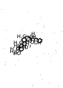 CC1(C)[C@@H](O)CC[C@]2(C)[C@H]3C(=O)C=C4[C@@H]5C[C@@](C)(C(=O)NC(Cc6ccccc6)C(=O)O)CC[C@]5(C)CC[C@@]4(C)[C@]3(C)CC[C@@H]12